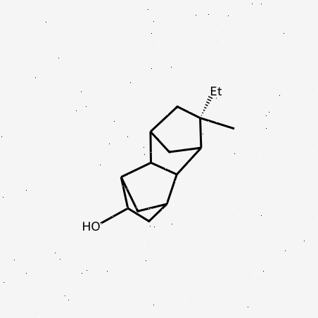 CC[C@@]1(C)CC2CC1C1C3CC(O)C(C3)C21